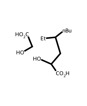 CCCCC(CC)CC(O)C(=O)O.O=C(O)CO